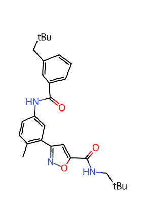 Cc1ccc(NC(=O)c2cccc(CC(C)(C)C)c2)cc1-c1cc(C(=O)NCC(C)(C)C)on1